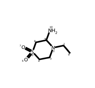 CCN1CCS(=O)(=O)CC1N